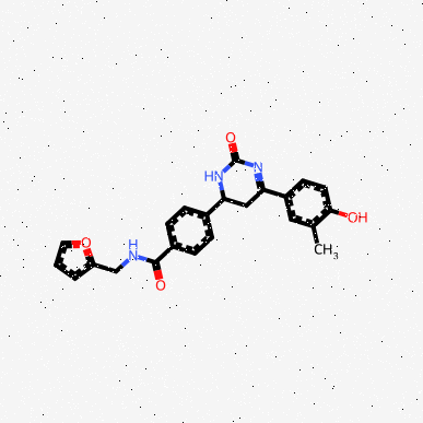 Cc1cc(C2=NC(=O)NC(c3ccc(C(=O)NCc4ccco4)cc3)C2)ccc1O